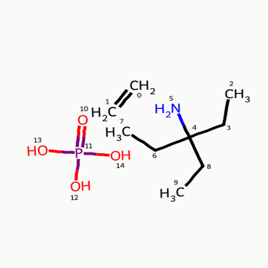 C=C.CCC(N)(CC)CC.O=P(O)(O)O